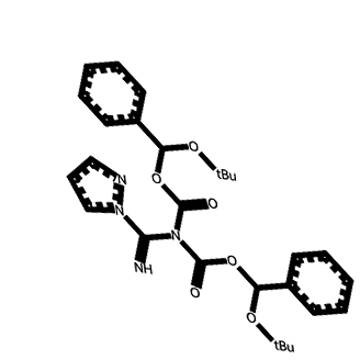 CC(C)(C)OC(OC(=O)N(C(=N)n1cccn1)C(=O)OC(OC(C)(C)C)c1ccccc1)c1ccccc1